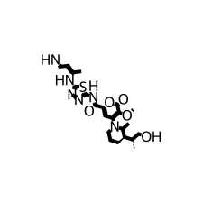 COc1c(N2CCC[C@H]([C@@H](C)CO)C2C)cc(C(=O)Nc2nnc(N/C(C)=C\C=N)s2)oc1=O